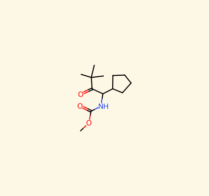 COC(=O)NC(C(=O)C(C)(C)C)C1CCCC1